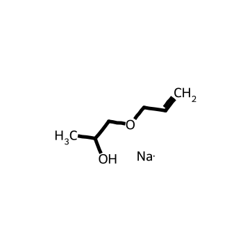 C=CCOCC(C)O.[Na]